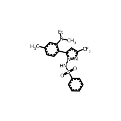 CCN(C)c1cc(C)ccc1-c1cc(C(F)(F)F)nn1NS(=O)(=O)c1ccccc1